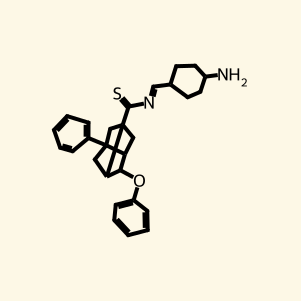 NC1CCC(/C=N/C(=S)C23CC4C(Oc5ccccc5)C2CC4(c2ccccc2)C3)CC1